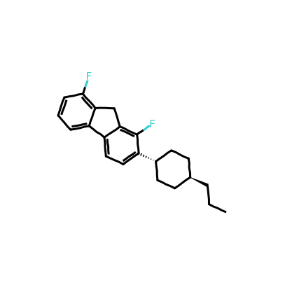 CCC[C@H]1CC[C@H](c2ccc3c(c2F)Cc2c(F)cccc2-3)CC1